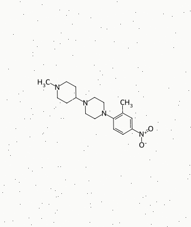 Cc1cc([N+](=O)[O-])ccc1N1CCN(C2CCN(C)CC2)CC1